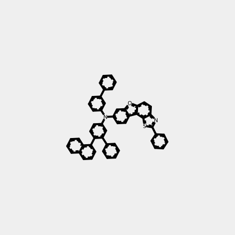 c1ccc(-c2cccc(N(c3ccc(-c4cccc5ccccc45)c(-c4ccccc4)c3)c3ccc4c(c3)oc3ccc5nc(-c6ccccc6)sc5c34)c2)cc1